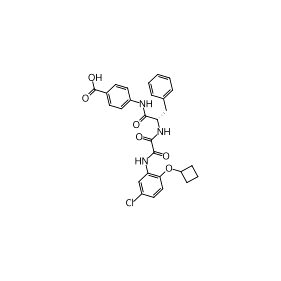 O=C(Nc1cc(Cl)ccc1OC1CCC1)C(=O)N[C@@H](Cc1ccccc1)C(=O)Nc1ccc(C(=O)O)cc1